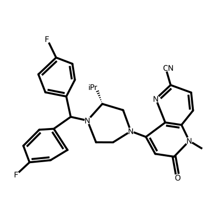 CC(C)[C@@H]1CN(c2cc(=O)n(C)c3ccc(C#N)nc23)CCN1C(c1ccc(F)cc1)c1ccc(F)cc1